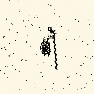 CCCCCCCCCCCCCNC[Si](C)(C)Cl.O=S(=O)(NS(=O)(=O)C(F)(F)F)C(F)(F)F